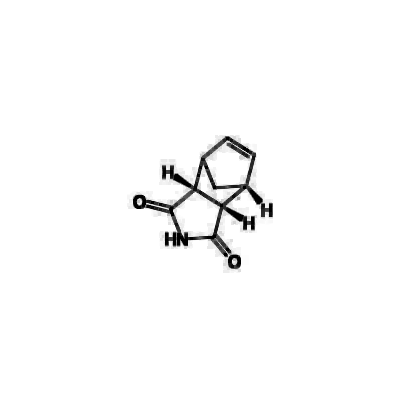 O=C1NC(=O)[C@@H]2C3C=C[C@@H](C3)[C@H]12